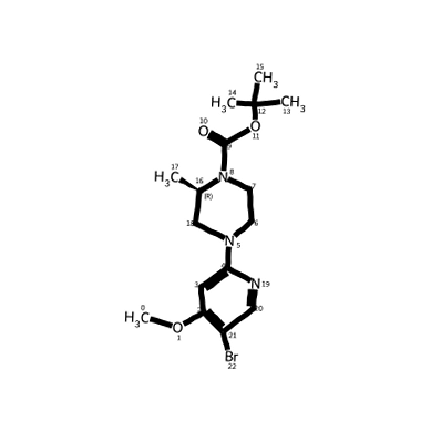 COc1cc(N2CCN(C(=O)OC(C)(C)C)[C@H](C)C2)ncc1Br